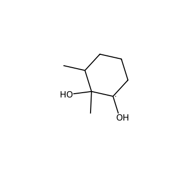 CC1CCC[C](O)C1(C)O